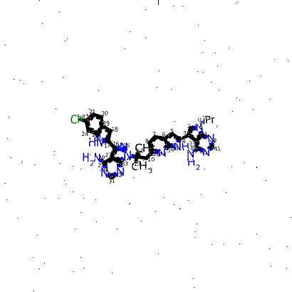 CC(C)n1cc(-c2cc3ccc(CC(C)(C)n4nc(-c5cc6ccc(Cl)cc6[nH]5)c5c(N)ncnc54)nc3[nH]2)c2c(N)ncnc21